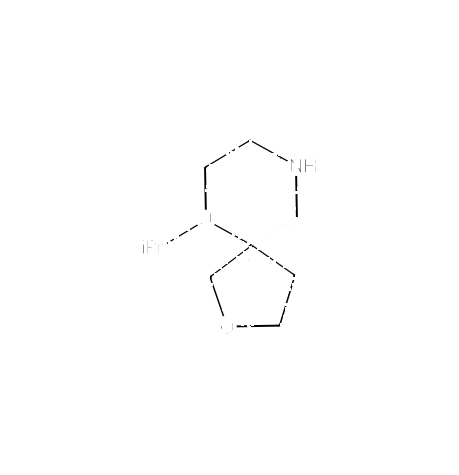 CC(C)N1CCNC[C@@]12CCOC2